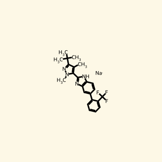 Cc1c(C(C)(C)C)nn(C)c1-c1nc2cc(-c3ccccc3C(F)(F)F)ccc2[nH]1.[Na]